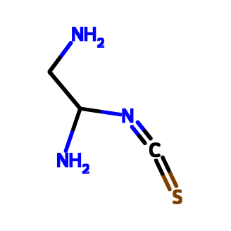 NCC(N)N=C=S